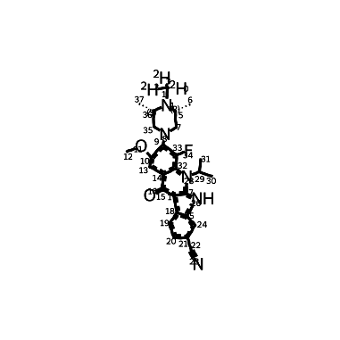 [2H]C([2H])([2H])N1[C@H](C)CN(c2c(OC)cc3c(=O)c4c5ccc(C#N)cc5[nH]c4n(C(C)C)c3c2F)C[C@@H]1C